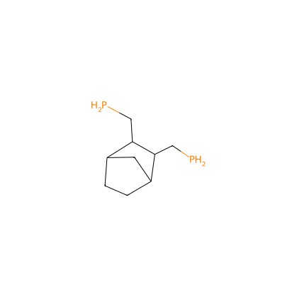 PCC1C2CCC(C2)C1CP